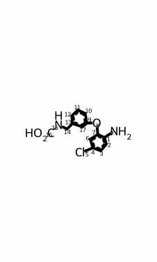 Nc1ccc(Cl)cc1Oc1cccc(CNC(=O)O)c1